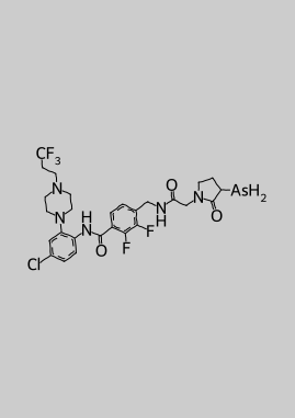 O=C(CN1CCC([AsH2])C1=O)NCc1ccc(C(=O)Nc2ccc(Cl)cc2N2CCN(CCC(F)(F)F)CC2)c(F)c1F